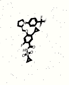 O=C(NS(=O)(=O)C1CC1)c1cc(C2CC2)c(OC[C@H]2CCCN2c2ccc(C(F)(F)F)cc2)cc1F